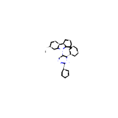 CBc1ccc2c3ccccc3n(-c3cnc(-c4ccccc4)nc3-c3ccccc3)c2c1